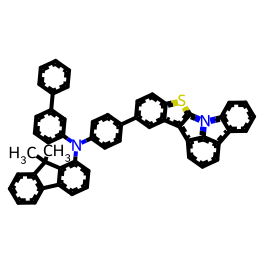 CC1(C)c2ccccc2-c2cccc(N(c3ccc(-c4ccc5sc6c(c5c4)c4cccc5c7ccccc7n6c54)cc3)c3cccc(-c4ccccc4)c3)c21